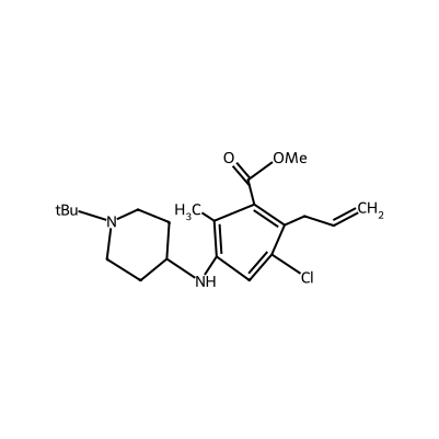 C=CCc1c(Cl)cc(NC2CCN(C(C)(C)C)CC2)c(C)c1C(=O)OC